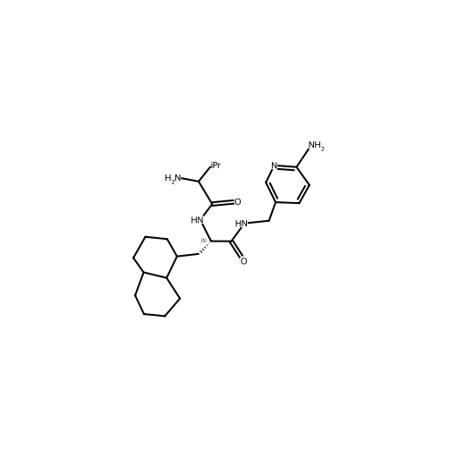 CC(C)C(N)C(=O)N[C@@H](CC1CCCC2CCCCC21)C(=O)NCc1ccc(N)nc1